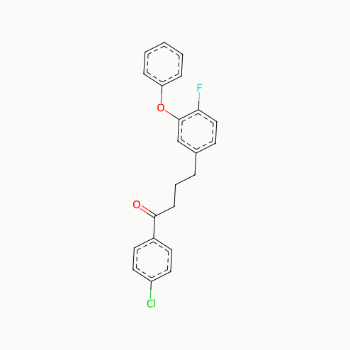 O=C(CCCc1ccc(F)c(Oc2ccccc2)c1)c1ccc(Cl)cc1